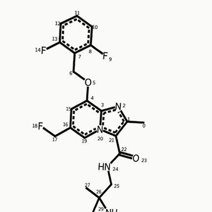 Cc1nc2c(OCc3c(F)cccc3F)cc(CF)cn2c1C(=O)NCC1(C)CN1